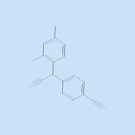 Cc1ccc(C(C#N)c2ccc(C#N)cc2)c(C)c1